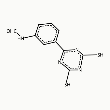 O=CNc1cccc(-c2nc(S)nc(S)n2)c1